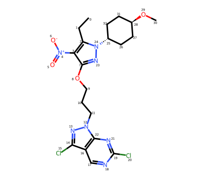 CCc1c([N+](=O)[O-])c(OCCCn2nc(Cl)c3cnc(Cl)nc32)nn1[C@H]1CC[C@H](OC)CC1